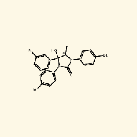 Bc1ccc(N2C(=O)N(c3ccc(Br)cc3)C(O)(c3cccc(CC)c3)[C@H]2C)cc1